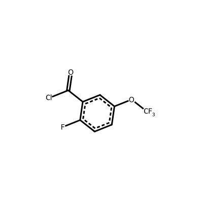 O=C(Cl)c1cc(OC(F)(F)F)ccc1F